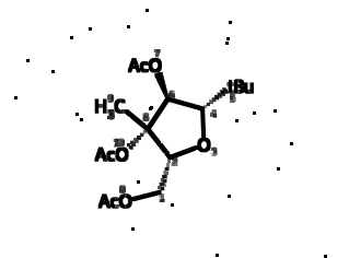 CC(=O)OC[C@H]1O[C@@H](C(C)(C)C)[C@H](OC(C)=O)[C@@]1(C)OC(C)=O